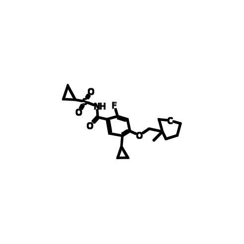 CC1(COc2cc(F)c(C(=O)NS(=O)(=O)C3CC3)cc2C2CC2)CCCCC1